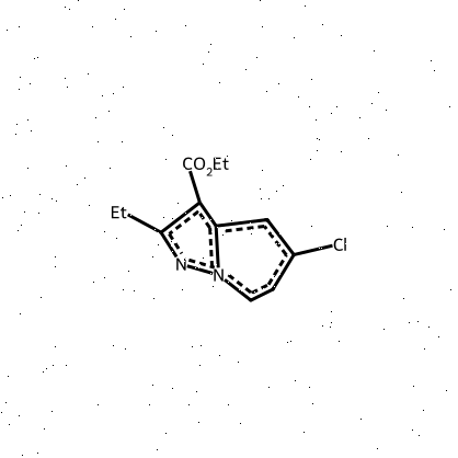 CCOC(=O)c1c(CC)nn2ccc(Cl)cc12